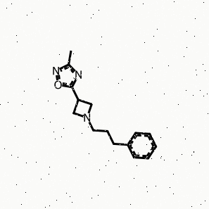 Cc1noc(C2CN(CCCc3ccccc3)C2)n1